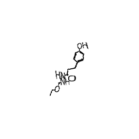 CCOCNNC(=O)CCc1ccc(O)cc1